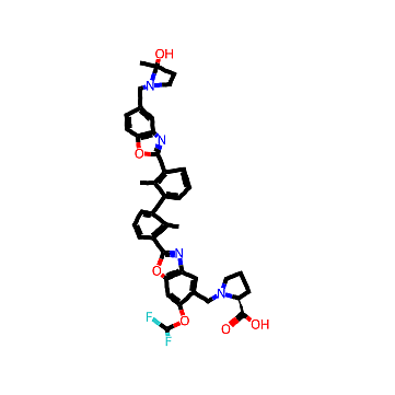 Cc1c(-c2nc3cc(CN4CCC4(C)O)ccc3o2)cccc1-c1cccc(-c2nc3cc(CN4CCC[C@H]4C(=O)O)c(OC(F)F)cc3o2)c1C